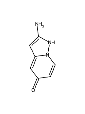 Nc1cc2cc(=O)ccn2[nH]1